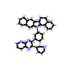 c1cncc(-c2nc3cccnc3nc2-c2cccc(-n3c4cc5ccccc5cc4c4ccc5ccccc5c43)c2)c1